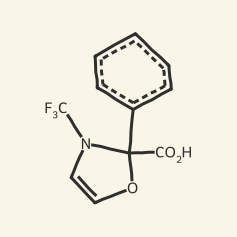 O=C(O)C1(c2ccccc2)OC=CN1C(F)(F)F